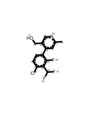 Cc1cc(-c2ccc(Cl)c(C(F)F)c2F)c(CO)cn1